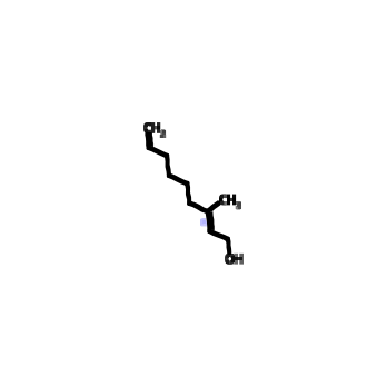 C=CCCCC/C(C)=C/CO